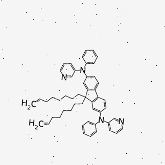 C=CCCCCCCC1(CCCCCCC=C)c2cc(N(c3ccccc3)c3cccnc3)ccc2-c2ccc(N(c3ccccc3)c3cccnc3)cc21